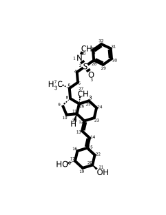 CN=S(=O)(CC[C@@H](C)[C@H]1CC[C@H]2/C(=C/C=C3C[C@@H](O)C[C@H](O)C3)CCC[C@]12C)c1ccccc1